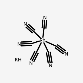 N#[C][Rh]([C]#N)([C]#N)([C]#N)([C]#N)[C]#N.[KH]